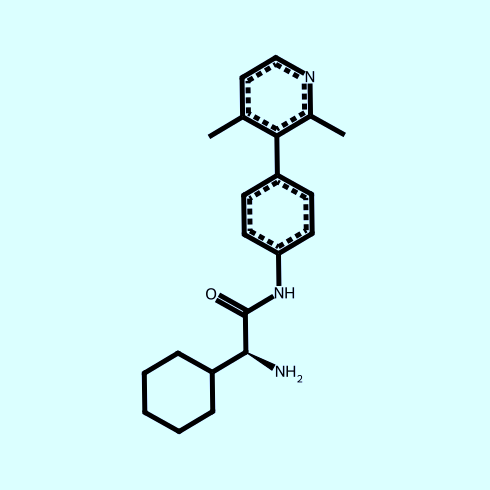 Cc1ccnc(C)c1-c1ccc(NC(=O)[C@@H](N)C2CCCCC2)cc1